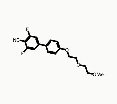 COCCOCCOc1ccc(-c2cc(F)c(C#N)c(F)c2)cc1